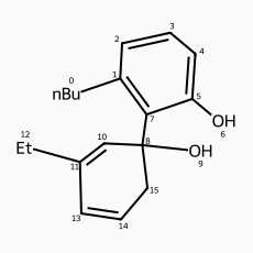 CCCCc1cccc(O)c1C1(O)C=C(CC)C=CC1